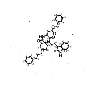 O=C(CC1NC(=O)C2(CCN(CCCc3ccccc3)CC2)N(CCc2c[nH]c3ccccc23)C1=O)OCc1ccccc1